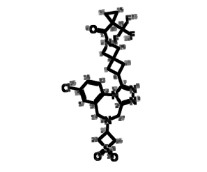 O=C(N1CC2(CC(c3nnc4n3-c3ccc(Cl)cc3CN(C3CS(=O)(=O)C3)C4)C2)C1)C1(C(F)(F)F)CC1